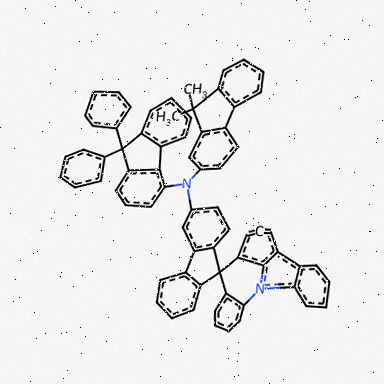 CC1(C)c2ccccc2-c2ccc(N(c3ccc4c(c3)-c3ccccc3C43c4ccccc4-n4c5ccccc5c5cccc3c54)c3cccc4c3-c3ccccc3C4(c3ccccc3)c3ccccc3)cc21